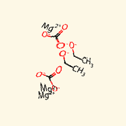 CC[O-].CC[O-].O=C([O-])[O-].O=C([O-])[O-].[Mg+2].[Mg+2].[Mg+2]